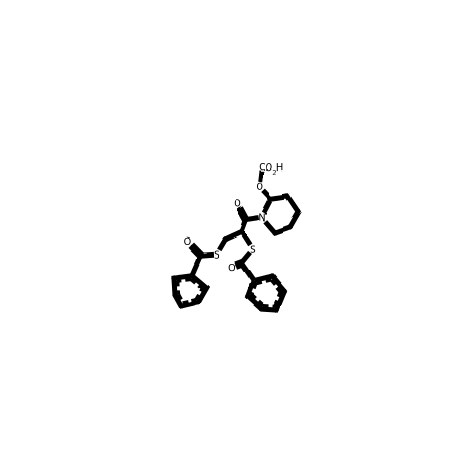 O=C(O)OC1CCCCN1C(=O)C(CSC(=O)c1ccccc1)SC(=O)c1ccccc1